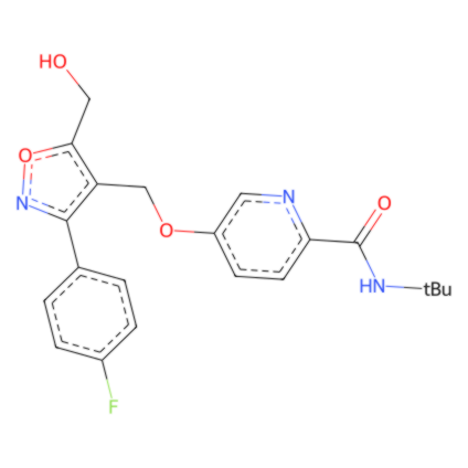 CC(C)(C)NC(=O)c1ccc(OCc2c(-c3ccc(F)cc3)noc2CO)cn1